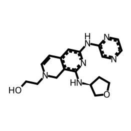 OCCN1C=Cc2cc(Nc3cnccn3)nc(N[C@H]3CCOC3)c2C1